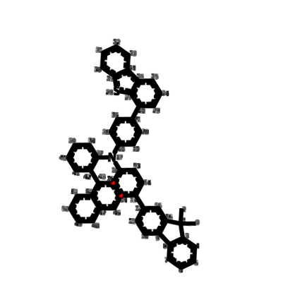 CC1(C)c2ccccc2-c2ccc(-c3ccc(N(c4ccc(-c5cccc6c5sc5ccccc56)cc4)c4ccccc4-c4cccc5ccccc45)cc3)cc21